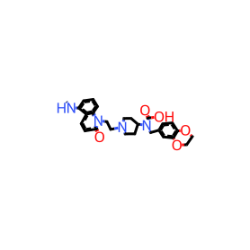 CNc1cccc2c1ccc(=O)n2CCN1CCC(N(Cc2ccc3c(c2)OCCO3)C(=O)O)CC1